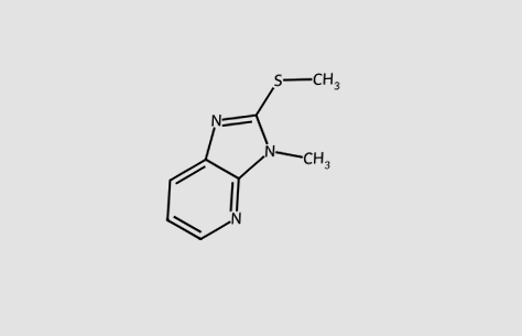 CSc1nc2cccnc2n1C